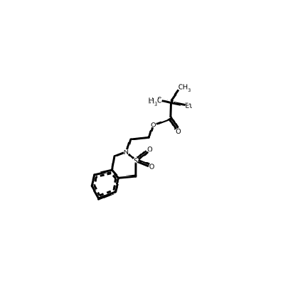 CCC(C)(C)C(=O)OCCN1Cc2ccccc2CS1(=O)=O